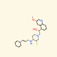 COc1cnc2cccc(C(O)CN3CCC(NC/C=C/c4ccccc4)C(F)C3)c2c1